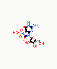 Nc1nc2c(c(=O)[nH]1)n(S(=O)(=O)O)c(=O)n2[C@@H]1O[C@H](CO)[C@@H](O)[C@H]1O